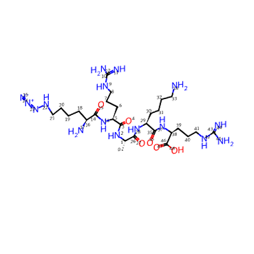 C[C@H](NC(=O)[C@H](CCCNC(=N)N)NC(=O)[C@@H](N)CCCCNN=[N+]=[N-])C(=O)N[C@@H](CCCCN)C(=O)N[C@@H](CCCNC(=N)N)C(=O)O